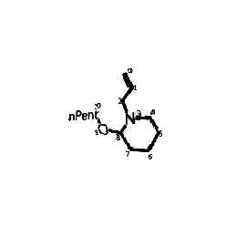 C=CCN1CCCCC1OCCCCC